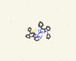 Sc1c(C2=CC=CC2)c2ccccc2c2c3cccnc3n(-c3nc(-c4ccccc4)c4c5ccccc5n(-c5ccccc5)c4n3)c12